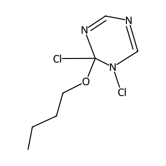 CCCCOC1(Cl)N=CN=CN1Cl